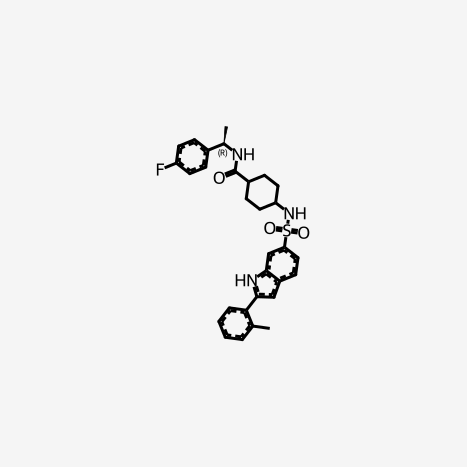 Cc1ccccc1-c1cc2ccc(S(=O)(=O)NC3CCC(C(=O)N[C@H](C)c4ccc(F)cc4)CC3)cc2[nH]1